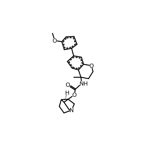 COc1cccc(-c2ccc3c(c2)OCCC3(C)NC(=O)O[C@H]2CN3CCC2CC3)c1